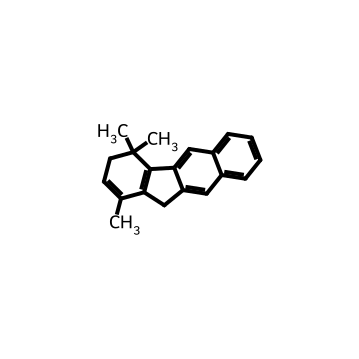 CC1=CCC(C)(C)C2=C1Cc1cc3ccccc3cc12